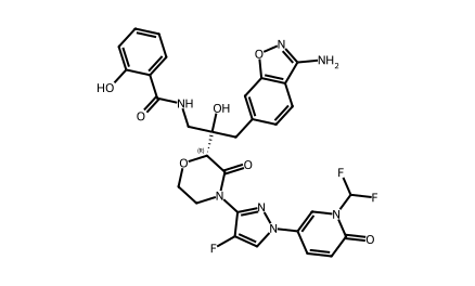 Nc1noc2cc(CC(O)(CNC(=O)c3ccccc3O)[C@H]3OCCN(c4nn(-c5ccc(=O)n(C(F)F)c5)cc4F)C3=O)ccc12